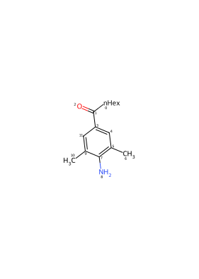 CCCCCCC(=O)c1cc(C)c(N)c(C)c1